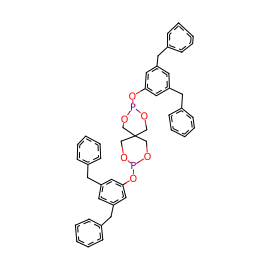 c1ccc(Cc2cc(Cc3ccccc3)cc(OP3OCC4(CO3)COP(Oc3cc(Cc5ccccc5)cc(Cc5ccccc5)c3)OC4)c2)cc1